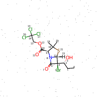 CC[C@@H](O)[C@]1(Br)C(=O)N2[C@@H](C(=O)OCC(Cl)(Cl)Cl)C(C)(C)S[C@@H]21